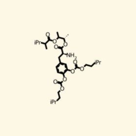 CC(C)CCOC(=O)Oc1ccc(C[C@H](N)C(=O)O[C@@H](C)C(C)OC(=O)C(C)C(C)C)cc1OC(=O)OCCC(C)C